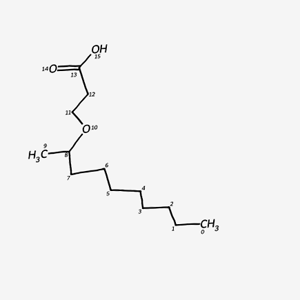 CCCCCCCCC(C)OCCC(=O)O